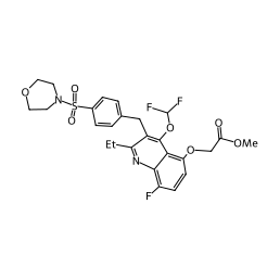 CCc1nc2c(F)ccc(OCC(=O)OC)c2c(OC(F)F)c1Cc1ccc(S(=O)(=O)N2CCOCC2)cc1